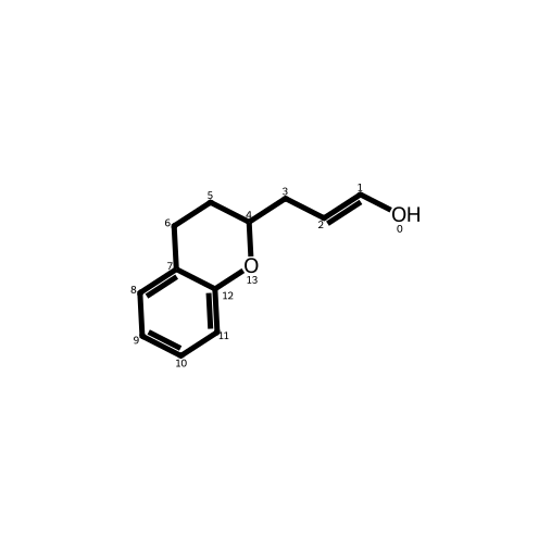 OC=CCC1CCc2ccccc2O1